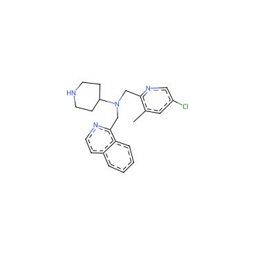 Cc1cc(Cl)cnc1CN(Cc1nccc2ccccc12)C1CCNCC1